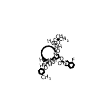 Cc1cccc(ONC(=O)[C@@]23C[C@H]2CCCCCCC[C@H](NC(=O)OC(C)(C)C)C(=O)N2C[C@H](OC(=O)N4Cc5cccc(F)c5C4)C[C@H]2C(=O)N3)c1